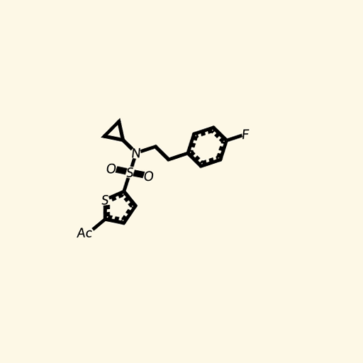 CC(=O)c1ccc(S(=O)(=O)N(CCc2ccc(F)cc2)C2CC2)s1